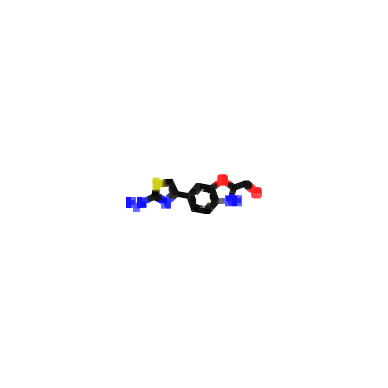 Nc1nc(-c2ccc3c(c2)OC(C=O)N3)cs1